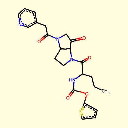 CCCC(NC(=O)Oc1cccs1)C(=O)N1CCC2C1C(=O)CN2C(=O)Cc1cccnc1